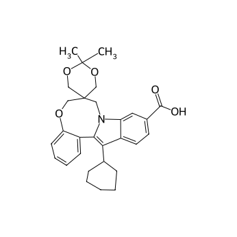 CC1(C)OCC2(COc3ccccc3-c3c(C4CCCCC4)c4ccc(C(=O)O)cc4n3C2)CO1